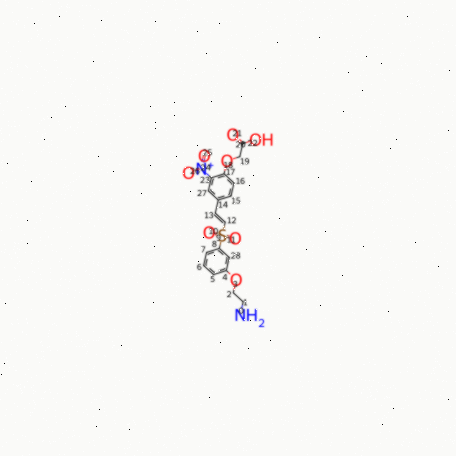 NCCOc1cccc(S(=O)(=O)C=Cc2ccc(OCC(=O)O)c([N+](=O)[O-])c2)c1